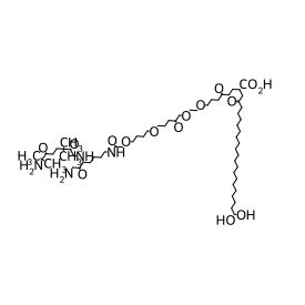 CC(C)(N)C(=O)CCC(C)(C)C(=O)CNC(CCCCNC(=O)COCCCCOCCCC(=O)COCCOCCCC(=O)CCC(CC(=O)CCCCCCCCCCCCCCCCCCC(O)O)C(=O)O)C(=O)CN